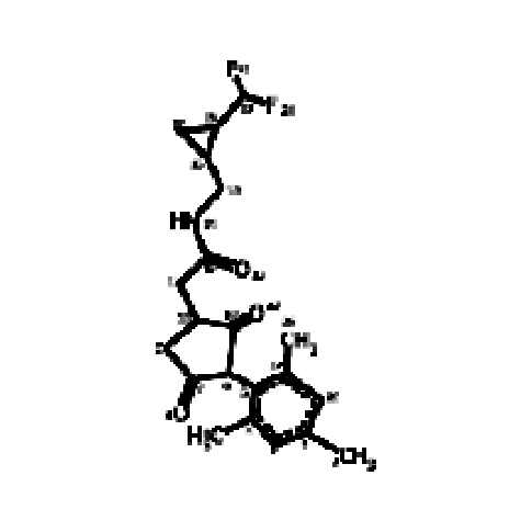 Cc1cc(C)c(C2C(=O)CC(CC(=O)NCC3CC3C(F)F)C2=O)c(C)c1